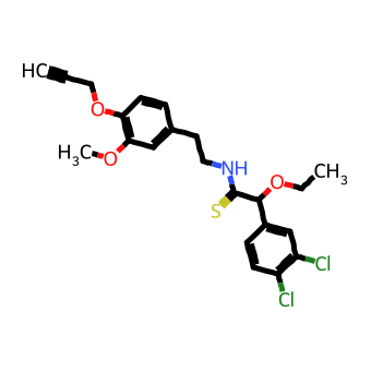 C#CCOc1ccc(CCNC(=S)C(OCC)c2ccc(Cl)c(Cl)c2)cc1OC